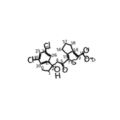 CCC(O)(CC(=O)c1sc(C(=O)OC)c2c1CCC2)c1cc(Cl)cc(Cl)c1